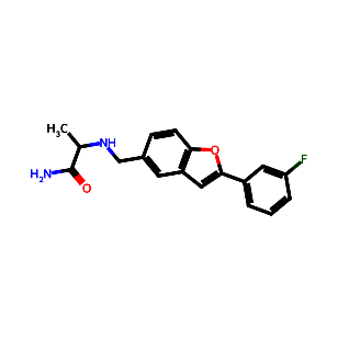 CC(NCc1ccc2oc(-c3cccc(F)c3)cc2c1)C(N)=O